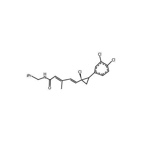 CC(/C=C/[C@@]1(Cl)CC1c1ccc(Cl)c(Cl)c1)=C\C(=O)NCC(C)C